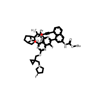 CC1Oc2nc(-c3cc(NC(=O)OC(C)(C)C)cc4cccc(C#C[Si](C(C)C)(C(C)C)C(C)C)c34)c(F)c3nc(OCC4(CN5CC[C@@H](F)C5)CC4)nc(c23)N2CC3CCC(C12)N3C(=O)O